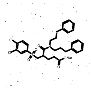 COC(=O)CCC(CS(=O)(=O)c1ccc(Cl)c(Cl)c1)C(=O)N(CCCc1ccccc1)CCCc1ccccc1